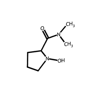 CN(C)C(=O)C1CCCN1O